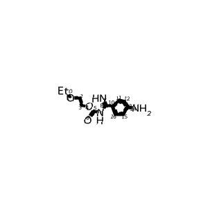 CCOCCOC(=O)NC(=N)c1ccc(N)cc1